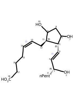 CCCCC[C@@H](O)/C=C/[C@H]1C(O)CC(O)[C@@H]1C/C=C\CCCC(=O)O